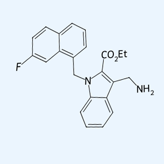 CCOC(=O)c1c(CN)c2ccccc2n1Cc1cccc2ccc(F)cc12